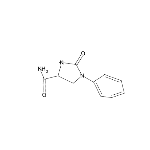 NC(=O)C1CN(c2ccccc2)C(=O)[N]1